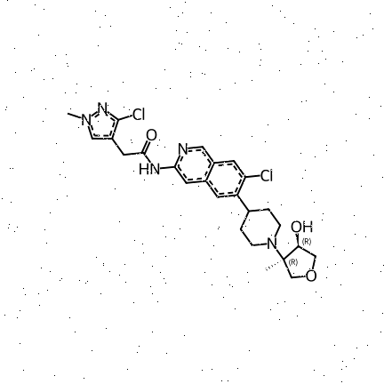 Cn1cc(CC(=O)Nc2cc3cc(C4CCN([C@]5(C)COC[C@@H]5O)CC4)c(Cl)cc3cn2)c(Cl)n1